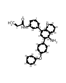 C=CC(=O)Nc1cccc(-c2cc(-c3ccc(Oc4ccccc4)cc3)c(N)c3cccnc23)c1